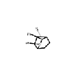 CC(C)[C@H]1C2CCC(CC2)N1C(C)C